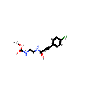 CC(C)(C)OC(=O)NCCNC(=O)C#Cc1ccc(Cl)cc1